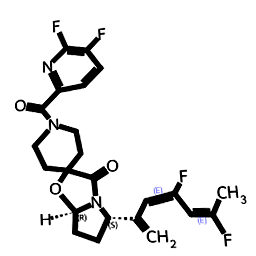 C=C(/C=C(F)\C=C(/C)F)[C@@H]1CC[C@H]2OC3(CCN(C(=O)c4ccc(F)c(F)n4)CC3)C(=O)N21